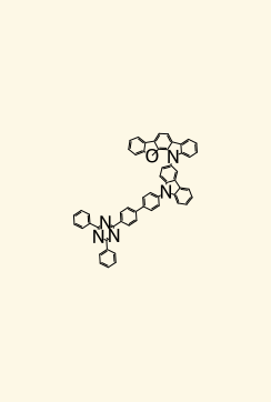 c1ccc(-c2nc(-c3ccccc3)nc(-c3ccc(-c4ccc(-n5c6ccccc6c6cc(-n7c8ccccc8c8ccc9c%10ccccc%10oc9c87)ccc65)cc4)cc3)n2)cc1